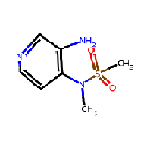 CN(c1ccncc1N)S(C)(=O)=O